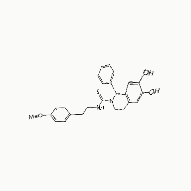 COc1ccc(CCNC(=S)N2CCc3cc(O)c(O)cc3C2c2ccccc2)cc1